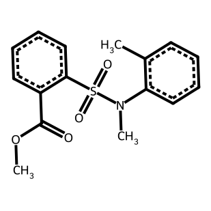 COC(=O)c1ccccc1S(=O)(=O)N(C)c1ccccc1C